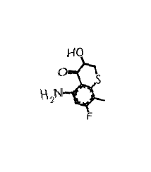 Cc1c(F)cc(N)c2c1SCC(O)C2=O